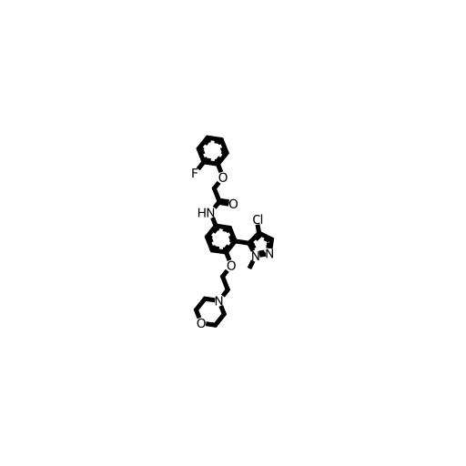 Cn1ncc(Cl)c1-c1cc(NC(=O)COc2ccccc2F)ccc1OCCN1CCOCC1